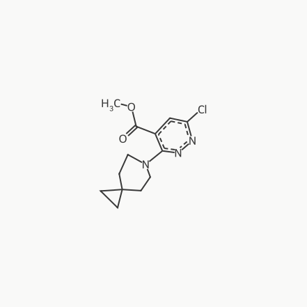 COC(=O)c1cc(Cl)nnc1N1CCC2(CC1)CC2